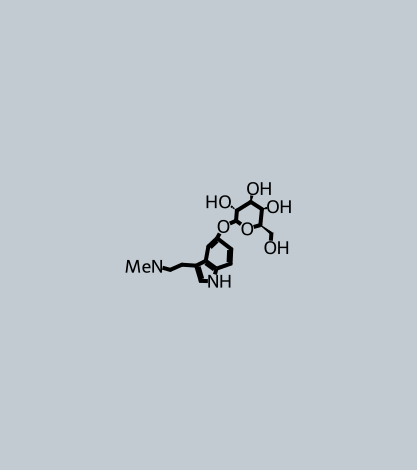 CNCCc1c[nH]c2ccc(OC3O[C@H](CO)[C@@H](O)[C@H](O)[C@H]3O)cc12